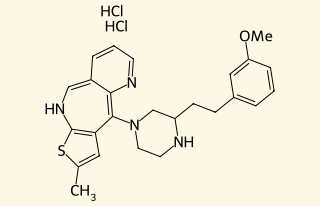 COc1cccc(CCC2CN(C3=c4ncccc4=CNc4sc(C)cc43)CCN2)c1.Cl.Cl